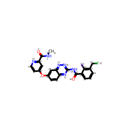 CNC(=O)c1cc(Oc2ccc3nc(NC(=O)c4cccc(CF)c4I)nnc3c2)ccn1